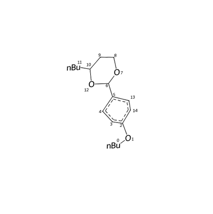 CCCCOc1ccc(C2OCCC(CCCC)O2)cc1